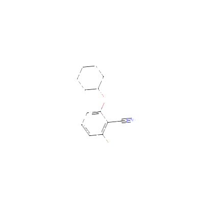 N#Cc1c(Br)cccc1OC1CCCCC1